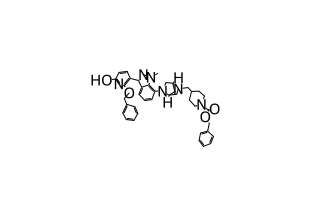 Cn1nc(-c2ccc(O)nc2OCc2ccccc2)c2cccc(N3C[C@H]4C[C@@H]3CN4CC3CCN(C(=O)OCc4ccccc4)CC3)c21